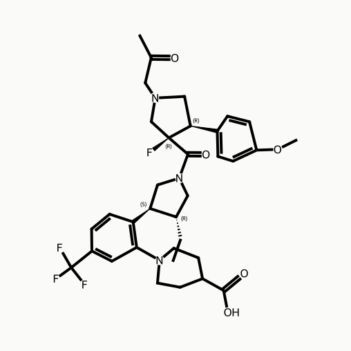 CC[C@H]1CN(C(=O)[C@]2(F)CN(CC(C)=O)C[C@H]2c2ccc(OC)cc2)C[C@@H]1c1ccc(C(F)(F)F)cc1N1CCC(C(=O)O)CC1